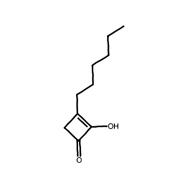 CCCCCCC1=C(O)C(=O)C1